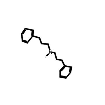 IN(CCCc1ccccc1)CCCc1ccccc1